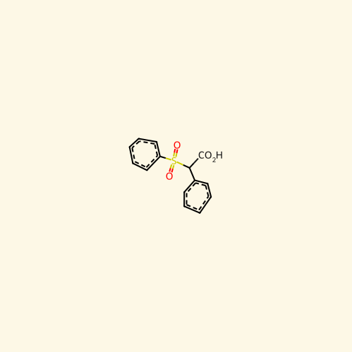 O=C(O)C(c1ccccc1)S(=O)(=O)c1ccccc1